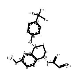 C=CC(=O)N[C@H]1CC[C@@H](Oc2ccc(C(F)(F)F)cc2)c2nc(CC)ccc21